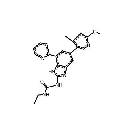 CCNC(=O)Nc1nc2cc(-c3cnc(OC)cc3C)cc(-c3ncccn3)c2[nH]1